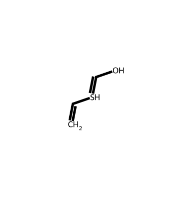 C=C[SH]=CO